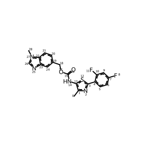 Cc1nc(-c2ccc(F)cc2F)sc1NC(=O)OCc1ccc2c(c1)ncn2C